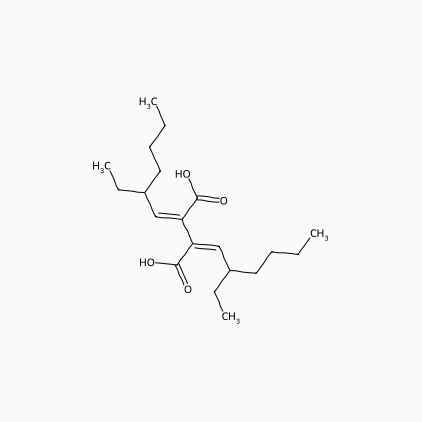 CCCCC(C=C(C(=O)O)C(=CC(CC)CCCC)C(=O)O)CC